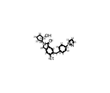 CCc1cc2c(cc1Cc1ccc(-n3cccn3)cc1)C(=O)N([C@H]1CCC[C@@H]1O)C2